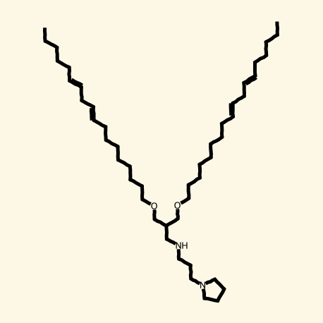 CCCCCC=CCC=CCCCCCCCCOCC(CNCCCN1CCCC1)COCCCCCCCCC=CCC=CCCCCC